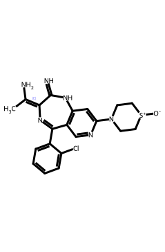 C/C(N)=C1\N=C(c2ccccc2Cl)c2cnc(N3CC[S+]([O-])CC3)cc2NC1=N